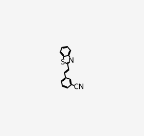 N#Cc1cccc(C=Cc2nc3ccccc3s2)c1